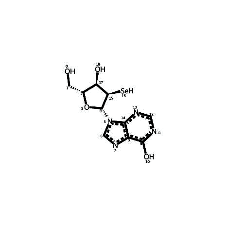 OC[C@H]1O[C@@H](n2cnc3c(O)ncnc32)[C@H]([SeH])[C@@H]1O